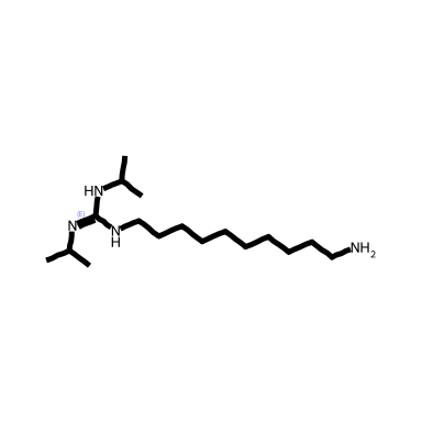 CC(C)/N=C(\NCCCCCCCCCCN)NC(C)C